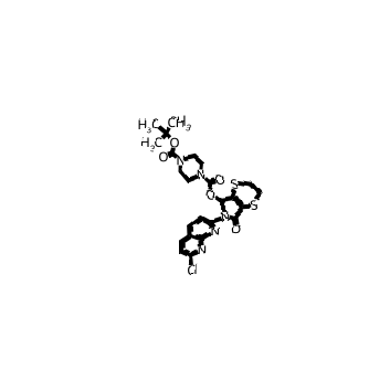 CC(C)(C)OC(=O)N1CCN(C(=O)OC2C3=C(SCCS3)C(=O)N2c2ccc3ccc(Cl)nc3n2)CC1